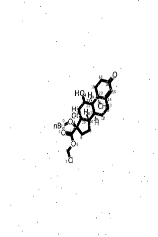 CCCCOC1(C(=O)OCCl)CC[C@H]2[C@@H]3CCC4=CC(=O)CC[C@]4(C)[C@@H]3C(O)C[C@@]21C